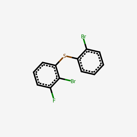 Fc1cccc(Sc2ccccc2Br)c1Br